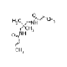 CC=CC(=O)NCC(C)(C)CNC(=O)C=CC